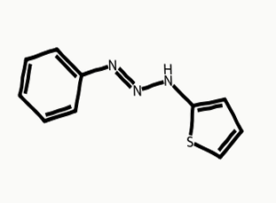 c1ccc(N=NNc2cccs2)cc1